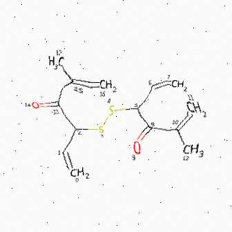 C=CC(SSC(C=C)C(=O)C(=C)C)C(=O)C(=C)C